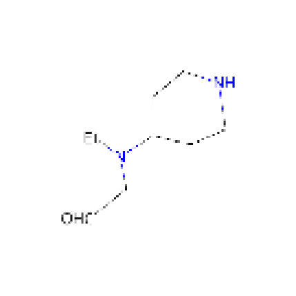 CCN(CC=O)C1CCNCC1